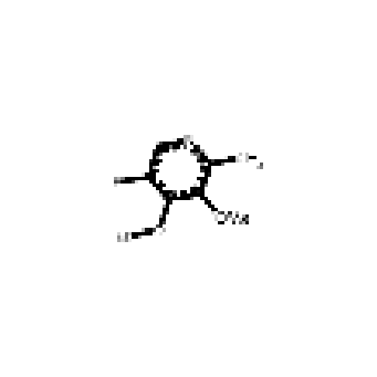 CCOc1c(F)cnc(C)c1OC